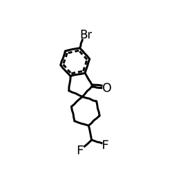 O=C1c2cc(Br)ccc2CC12CCC(C(F)F)CC2